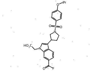 CC(C)Oc1ccc(S(=O)(=O)N2CCC(c3cn(CC(=O)O)c4cc(C(=O)F)ccc34)C2)cc1